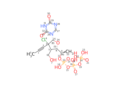 CC#CC1(Cl)C(CO)[C@@H]([C@@H](C)OP(=O)(O)OP(=O)(O)OP(=O)(O)O)O[C@H]1n1cnc(=O)[nH]c1=O